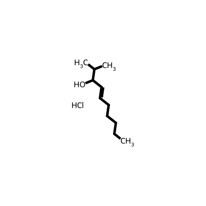 CCCCCC=CC(O)C(C)C.Cl